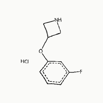 Cl.Fc1cccc(OC2CNC2)c1